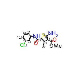 COC(=O)c1c(N)sc(C(=O)Nc2ccc(C)c(Cl)c2)c1C